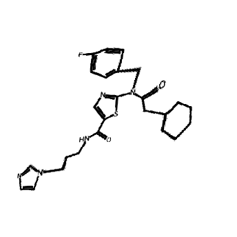 O=C(NCCCn1ccnc1)c1cnc(N(Cc2ccc(F)cc2)C(=O)CC2CCCCC2)s1